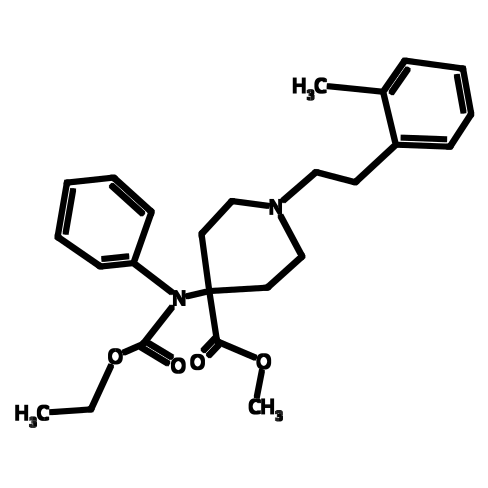 CCOC(=O)N(c1ccccc1)C1(C(=O)OC)CCN(CCc2ccccc2C)CC1